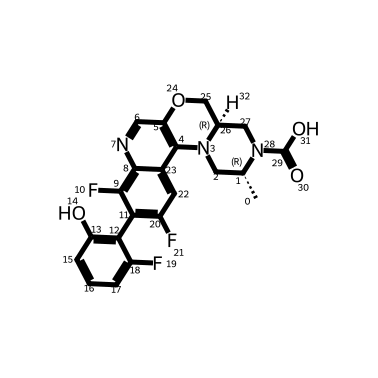 C[C@@H]1CN2c3c(cnc4c(F)c(-c5c(O)cccc5F)c(F)cc34)OC[C@H]2CN1C(=O)O